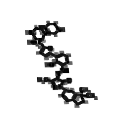 C1CNCCN1.C1CNCCN1.CC1=NN(c2ccc3c(c2)C(C)(C)CC3)C(=O)C1=NNc1cccc(-c2ccc(C(=O)O)o2)c1O